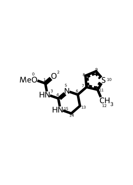 COC(=O)NC1=NC(c2ccsc2C)CCN1